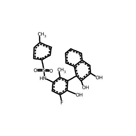 Cc1ccc(S(=O)(=O)Nc2cc(F)c(O)c(-c3c(O)c(O)cc4ccccc34)c2C)cc1